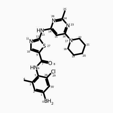 Bc1cc(C)c(NC(=O)c2cnc(Nc3cc(N4CCCCC4)nc(C)n3)s2)c(Cl)c1